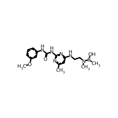 COc1cccc(NC(=O)Nc2nc(C)cc(NCCN(C)B(C)O)n2)c1